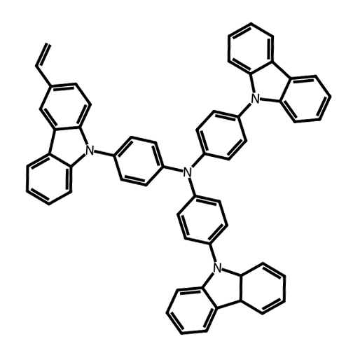 C=Cc1ccc2c(c1)c1ccccc1n2-c1ccc(N(c2ccc(N3c4ccccc4C4C=CC=CC43)cc2)c2ccc(-n3c4ccccc4c4ccccc43)cc2)cc1